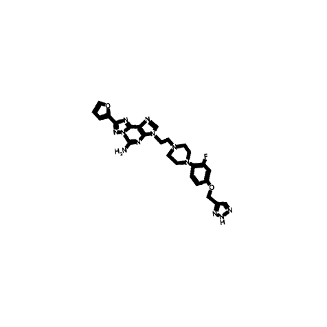 Nc1nc2c(ncn2CCN2CCN(c3ccc(OCc4cn[nH]n4)cc3F)CC2)c2nc(-c3ccco3)nn12